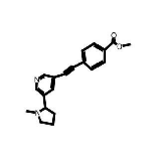 COC(=O)c1ccc(C#Cc2cncc(C3CCCN3C)c2)cc1